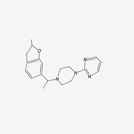 CC1Cc2ccc(C(C)N3CCN(c4nc[c]cn4)CC3)cc2O1